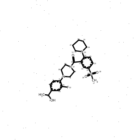 CC(O)c1ccc(N2CCN(C(=O)c3cc(S(C)(=O)=O)ccc3N3CCCCC3)CC2)c(F)c1